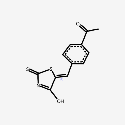 CC(=O)c1ccc(/C=C2\SC(=S)N=C2O)cc1